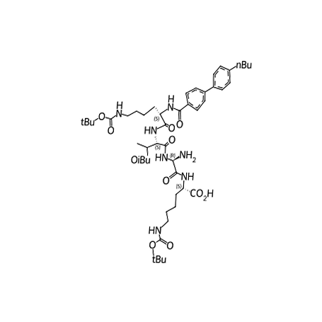 CCCCc1ccc(-c2ccc(C(=O)N[C@@H](CCCCNC(=O)OC(C)(C)C)C(=O)N[C@H](C(=O)N[C@@H](N)C(=O)N[C@@H](CCCCNC(=O)OC(C)(C)C)C(=O)O)C(C)OCC(C)C)cc2)cc1